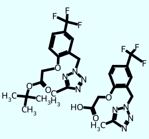 Cc1nnn(Cc2cc(C(F)(F)F)ccc2OCC(=O)O)n1.Cc1nnn(Cc2cc(C(F)(F)F)ccc2OCC(=O)OC(C)(C)C)n1